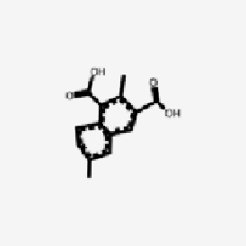 Cc1ccc2c(C(=O)O)c(C)c(C(=O)O)cc2c1